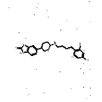 O=c1[nH]c2ccc(C3CCC(NCCCCc4ccc(Cl)cc4F)CC3)cc2o1